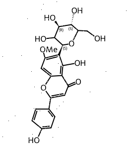 COc1cc2oc(-c3ccc(O)cc3)cc(=O)c2c(O)c1[C@@H]1OC(CO)[C@@H](O)[C@H](O)C1O